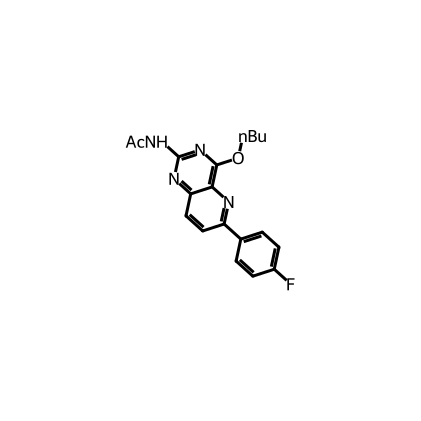 CCCCOc1nc(NC(C)=O)nc2ccc(-c3ccc(F)cc3)nc12